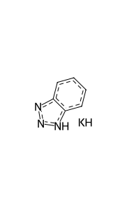 [KH].c1ccc2[nH]nnc2c1